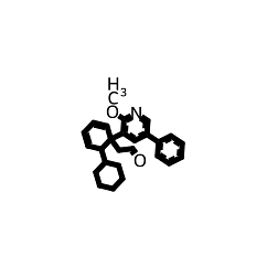 COc1ncc(-c2ccccc2)cc1C1(CC=O)C=CC=CC1C1CCCCC1